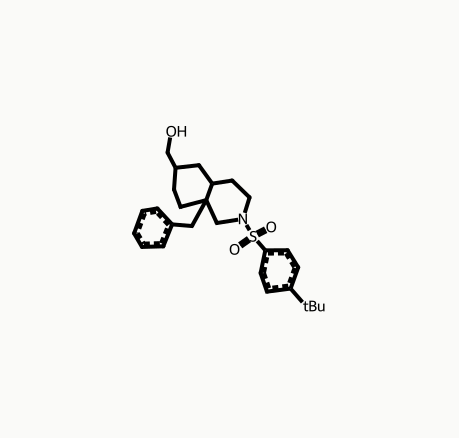 CC(C)(C)c1ccc(S(=O)(=O)N2CCC3CC(CO)CCC3(Cc3ccccc3)C2)cc1